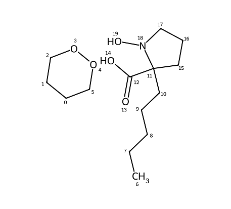 C1CCOOC1.CCCCCC1(C(=O)O)CCCN1O